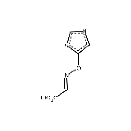 CCOC(=O)C=NOc1cncs1